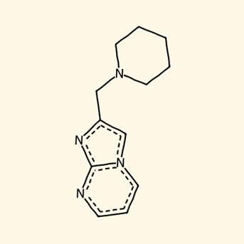 c1cnc2nc(CN3CCCCC3)cn2c1